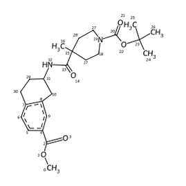 COC(=O)c1ccc2c(c1)CC(NC(=O)C1(C)CCN(C(=O)OC(C)(C)C)CC1)CC2